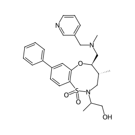 CC(CO)N1C[C@@H](C)[C@H](CN(C)Cc2cccnc2)Oc2cc(-c3ccccc3)ccc2S1(=O)=O